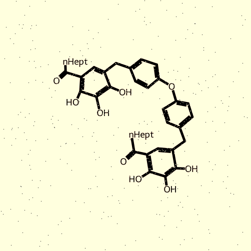 CCCCCCCC(=O)c1cc(Cc2ccc(Oc3ccc(Cc4cc(C(=O)CCCCCCC)c(O)c(O)c4O)cc3)cc2)c(O)c(O)c1O